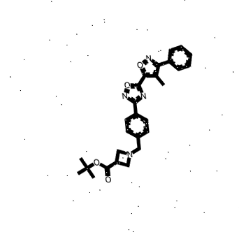 Cc1c(-c2ccccc2)noc1-c1nc(-c2ccc(CN3CC(C(=O)OC(C)(C)C)C3)cc2)no1